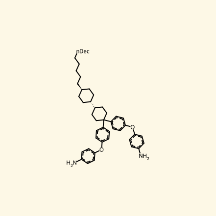 CCCCCCCCCCCCCCC[C@H]1CC[C@H](C2CCC(c3ccc(Oc4ccc(N)cc4)cc3)(c3ccc(Oc4ccc(N)cc4)cc3)CC2)CC1